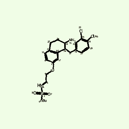 CCCCS(=O)(=O)NCCOc1ccc2c(c1)C(Cc1ccc(Cl)c(Cl)c1)C(N)CC2